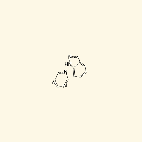 c1ccc2[nH]ncc2c1.c1ncncn1